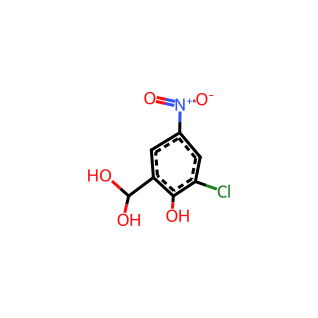 O=[N+]([O-])c1cc(Cl)c(O)c(C(O)O)c1